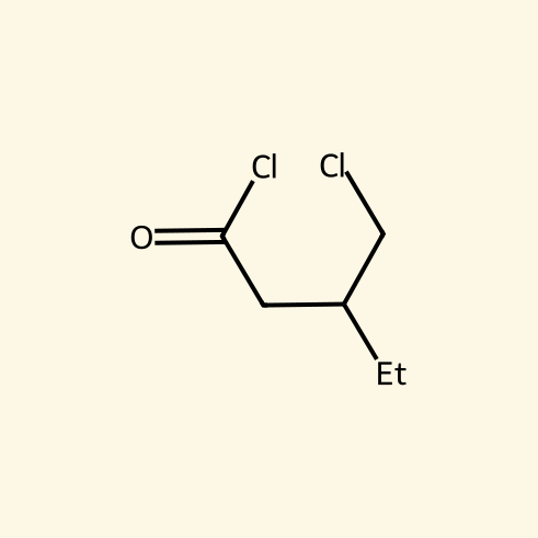 CCC(CCl)CC(=O)Cl